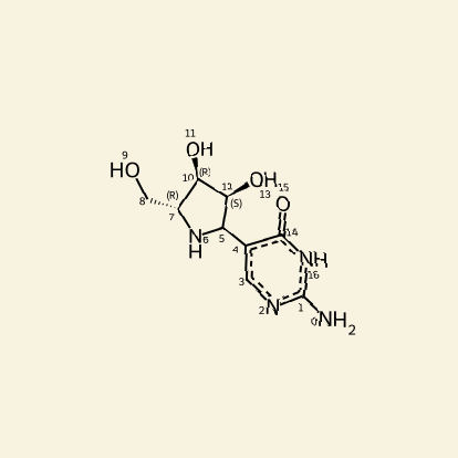 Nc1ncc(C2N[C@H](CO)[C@@H](O)[C@H]2O)c(=O)[nH]1